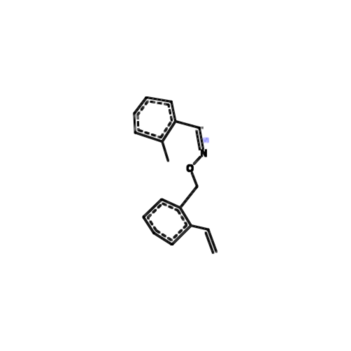 C=Cc1ccccc1CO/N=[C]\c1ccccc1C